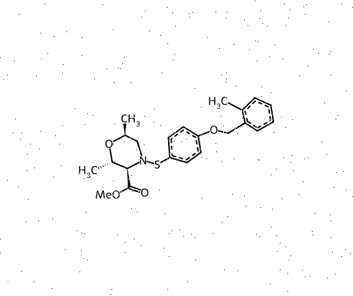 COC(=O)[C@H]1[C@H](C)O[C@@H](C)CN1Sc1ccc(OCc2ccccc2C)cc1